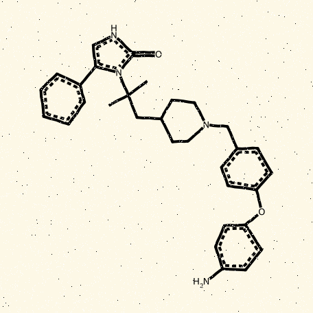 CC(C)(CC1CCN(Cc2ccc(Oc3ccc(N)cc3)cc2)CC1)n1c(-c2ccccc2)c[nH]c1=O